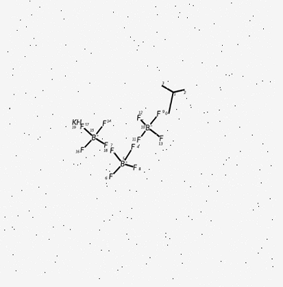 CC(C)C.F[B-](F)(F)F.F[B-](F)(F)F.F[B-](F)(F)F.[KH]